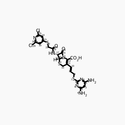 Nc1cc(N)nc(SCC=CC2=C(C(=O)O)N3C(=O)[C@@H](NC(=O)CSc4cc(Cl)nc(Cl)c4)[C@H]3SC2)n1